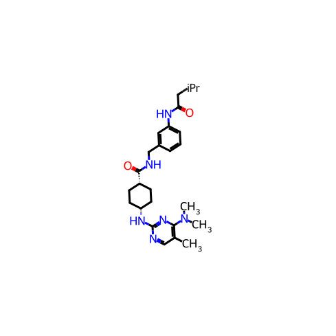 Cc1cnc(N[C@H]2CC[C@@H](C(=O)NCc3cccc(NC(=O)CC(C)C)c3)CC2)nc1N(C)C